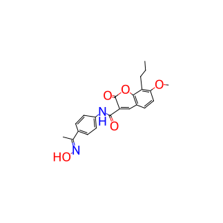 CCCc1c(OC)ccc2cc(C(=O)Nc3ccc(C(C)=NO)cc3)c(=O)oc12